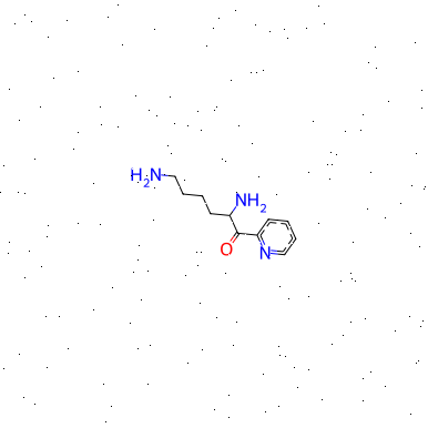 NCCCCC(N)C(=O)c1ccccn1